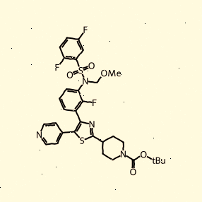 COCN(c1cccc(-c2nc(C3CCN(C(=O)OC(C)(C)C)CC3)sc2-c2ccncc2)c1F)S(=O)(=O)c1cc(F)ccc1F